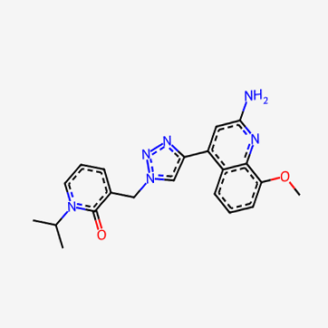 COc1cccc2c(-c3cn(Cc4cccn(C(C)C)c4=O)nn3)cc(N)nc12